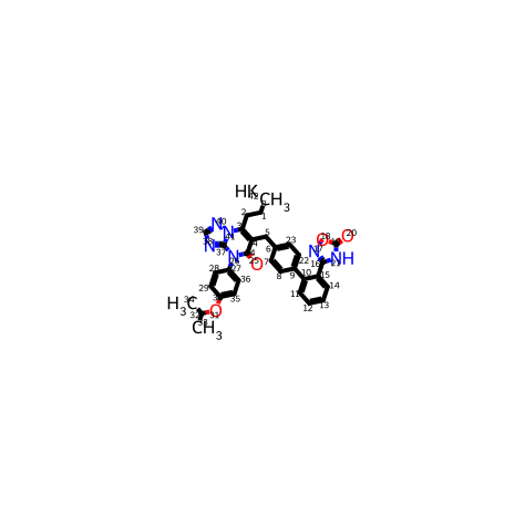 CCCc1c(Cc2ccc(-c3ccccc3-c3noc(=O)[nH]3)cc2)c(=O)n(-c2ccc(OC(C)C)cc2)c2ncnn12.[KH]